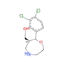 OC[C@@H]1CNCCOC1c1ccc(Cl)c(Cl)c1